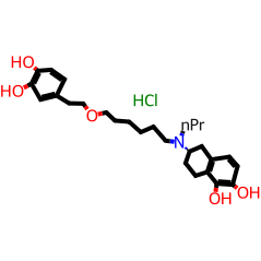 CCCN(CCCCCCOCCc1ccc(O)c(O)c1)[C@H]1CCc2c(ccc(O)c2O)C1.Cl